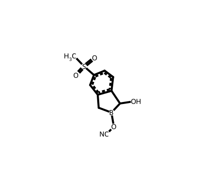 CS(=O)(=O)c1ccc2c(c1)CB(OC#N)C2O